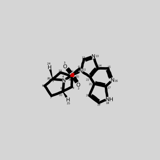 CS(=O)(=O)N1[C@@H]2CC[C@H]1C[C@H](n1cnc3cnc4[nH]ccc4c31)C2